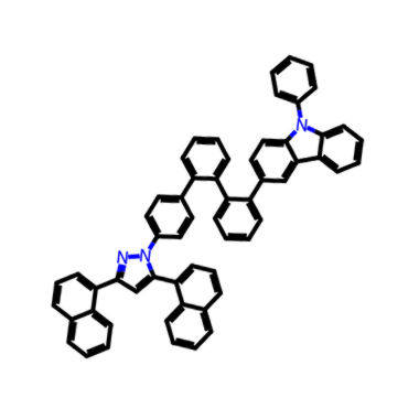 c1ccc(-n2c3ccccc3c3cc(-c4ccccc4-c4ccccc4-c4ccc(-n5nc(-c6cccc7ccccc67)cc5-c5cccc6ccccc56)cc4)ccc32)cc1